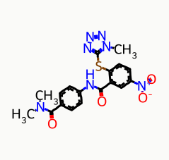 CN(C)C(=O)c1ccc(NC(=O)c2cc([N+](=O)[O-])ccc2Sc2nnnn2C)cc1